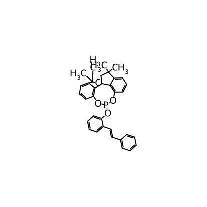 CC1(C)CC23CC(C)(C)c4cccc(c42)OP(Oc2ccccc2/C=C/c2ccccc2)Oc2cccc1c23